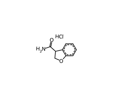 Cl.NC(=O)C1COc2ccccc21